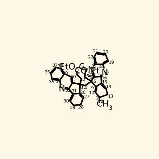 CCOC(=O)CCC1(CC2(CCC(=O)OCC)C3=CC(C)CC=C3c3nc4ccccc4nc32)C2=CCCC=C2c2nc3ccccc3cc21